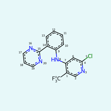 FC(F)(F)c1cnc(Cl)cc1Nc1ccccc1-c1ncccn1